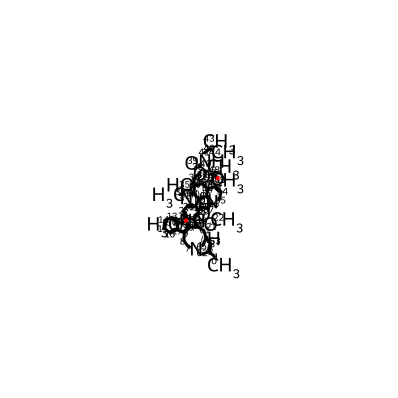 CCC1=C[C@@H]2CN(CCc3c([nH]c4ccccc34)[C@@](C(=O)OC)(c3cc4c(cc3OC)N(C)[C@H]3C(O)(COC(=O)NCC(C)C)[C@H](OC(C)=O)[C@]5(CC)C=CCN6CC[C@]43[C@@H]65)C2)C1